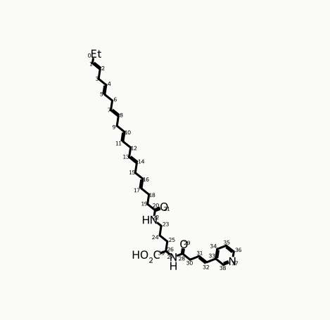 CCC=CCC=CCC=CCC=CCC=CCC=CCCC(=O)NCCCC(NC(=O)CC=Cc1cccnc1)C(=O)O